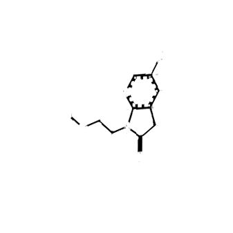 COCCN1C(=O)Cc2cc(Br)cnc21